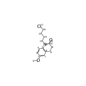 COc1ccc2c(c1)CCC(=O)N2CCCCCl